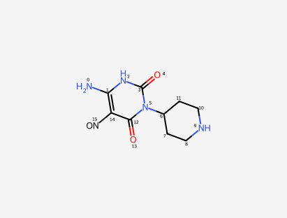 Nc1[nH]c(=O)n(C2CCNCC2)c(=O)c1N=O